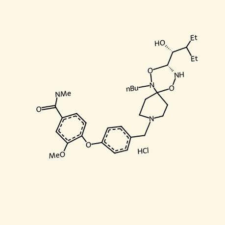 CCCCN1O[C@H]([C@H](O)C(CC)CC)NOC12CCN(Cc1ccc(Oc3ccc(C(=O)NC)cc3OC)cc1)CC2.Cl